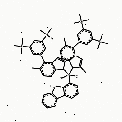 CC1=Cc2c(ccc(C)c2-c2cc([Si](C)(C)C)cc([Si](C)(C)C)c2)[CH]1[Zr]([Cl])([Cl])([c]1cccc2c1[SiH2]c1ccccc1-2)[CH]1C(C)=Cc2c1ccc(C)c2-c1cc([Si](C)(C)C)cc([Si](C)(C)C)c1